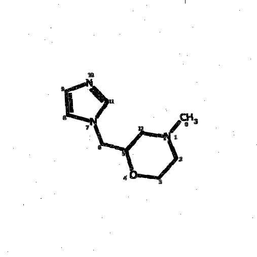 CN1CCOC(Cn2ccnc2)C1